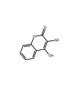 O=c1oc2ccccc2c(O)c1S